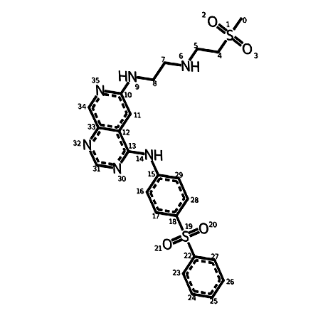 CS(=O)(=O)CCNCCNc1cc2c(Nc3ccc(S(=O)(=O)c4ccccc4)cc3)ncnc2cn1